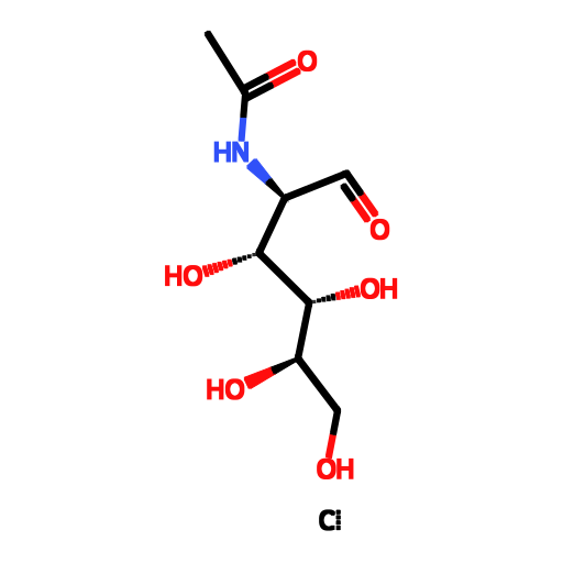 CC(=O)N[C@@H](C=O)[C@@H](O)[C@H](O)[C@H](O)CO.[C]